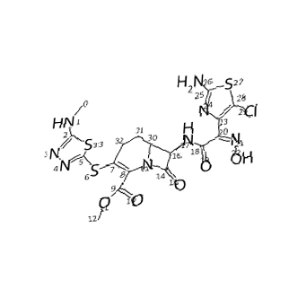 CNc1nnc(SC2=C(C(=O)OC)N3C(=O)C(NC(=O)/C(=N\O)c4nc(N)sc4Cl)C3CC2)s1